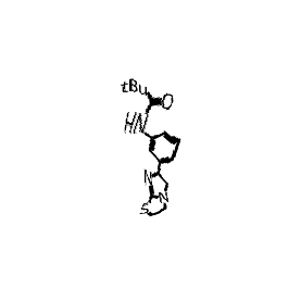 CC(C)(C)C(=O)Nc1cccc(C2CN3CCSC3=N2)c1